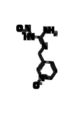 NC(=NCc1ccc[n+]([O-])c1)N[N+](=O)[O-]